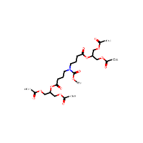 CCCCCCCCC(=O)OCC(COC(=O)CCCCCCCC)OC(=O)CCCN(CCCC(=O)OC(COC(=O)CCCCCCCC)COC(=O)CCCCCCCC)C(=O)OC(C)(C)C